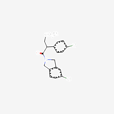 CCOC(=O)CC(C(=O)N1Cc2ccc(Cl)cc2C1)c1ccc(Cl)cc1